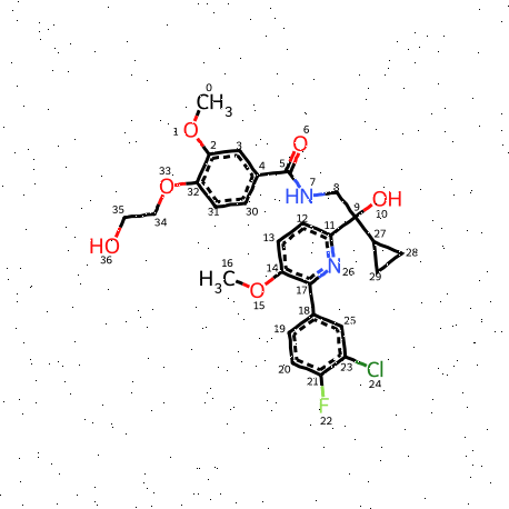 COc1cc(C(=O)NCC(O)(c2ccc(OC)c(-c3ccc(F)c(Cl)c3)n2)C2CC2)ccc1OCCO